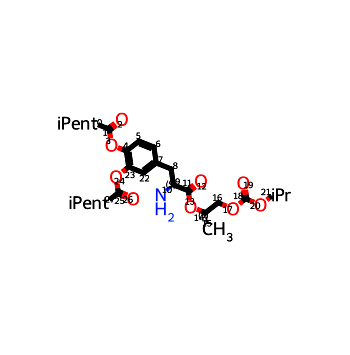 CCCC(C)C(=O)Oc1ccc(C[C@H](N)C(=O)O[C@@H](C)COC(=O)OC(C)C)cc1OC(=O)C(C)CCC